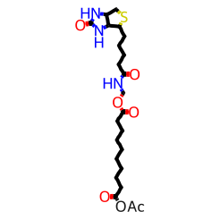 CC(=O)OC(=O)CCCCCCCCC(=O)OCNC(=O)CCCCC1SCC2NC(=O)NC21